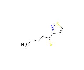 CCCCC([S])c1ccsn1